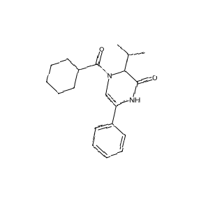 CC(C)C1C(=O)NC(c2ccccc2)=CN1C(=O)C1CCCCC1